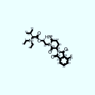 CCN(CC)[C@H](C(=O)OCCN1C(=N)CCC(N2C(=O)c3cccc(F)c3C2=O)C1=O)C(C)C